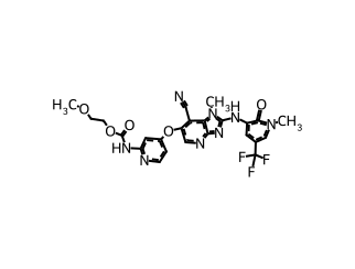 COCCOC(=O)Nc1cc(Oc2cnc3nc(Nc4cc(C(F)(F)F)cn(C)c4=O)n(C)c3c2C#N)ccn1